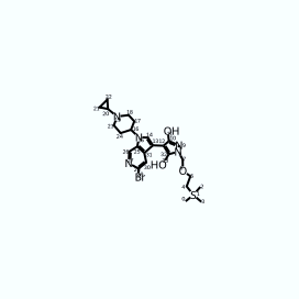 CS(C)(C)CCOCn1nc(O)c(-c2cn(C3CCN(C4CC4)CC3)c3cnc(Br)cc23)c1O